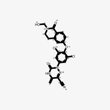 C=C1NC(=O)N(c2cc(Cl)c(Oc3ccc4c(c3)CCN(CO)C4=O)c(Cl)c2)N=C1C#N